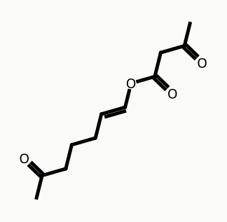 CC(=O)CCCC=COC(=O)CC(C)=O